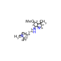 COc1cc(NCCCCCCC(C(C)C)N(C)C)c2nccc(C)c2c1